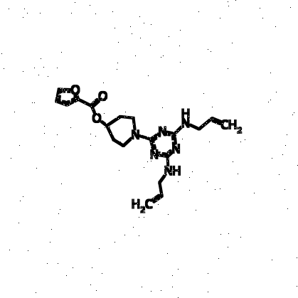 C=CCNc1nc(NCC=C)nc(N2CCC(OC(=O)c3ccco3)CC2)n1